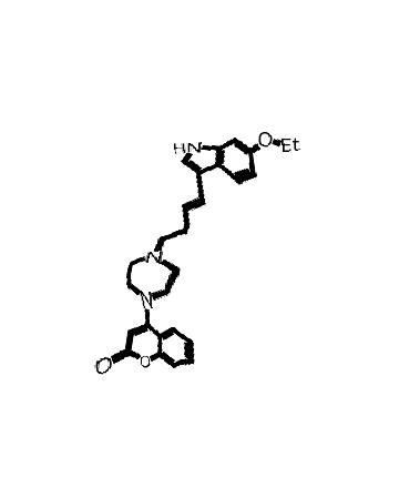 CCOc1ccc2c(CCCCN3CCN(c4cc(=O)oc5ccccc45)CC3)c[nH]c2c1